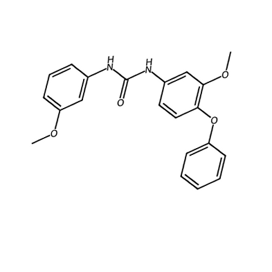 COc1cccc(NC(=O)Nc2ccc(Oc3ccccc3)c(OC)c2)c1